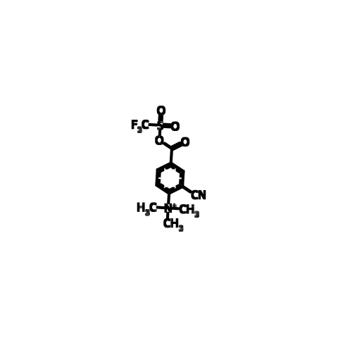 C[N+](C)(C)c1ccc(C(=O)OS(=O)(=O)C(F)(F)F)cc1C#N